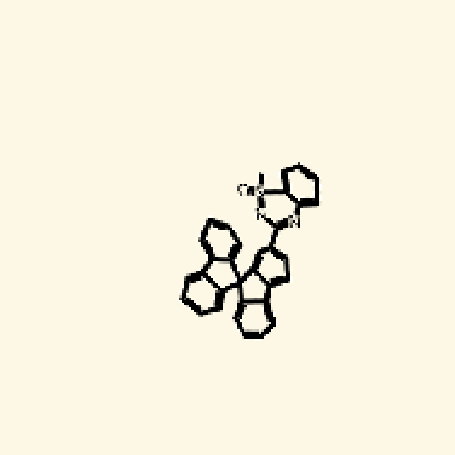 CS1(=O)=NC(c2ccc3c(c2)C2(c4ccccc4-c4ccccc42)c2ccccc2-3)=Nc2ccccc21